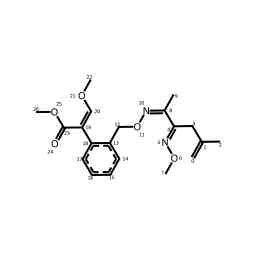 C=C(C)CC(=NOC)C(C)=NOCc1ccccc1C(=COC)C(=O)OC